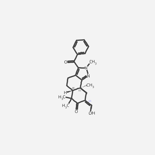 Cn1nc2c(c1C(=O)c1ccccc1)CC[C@H]1C(C)(C)C(=O)/C(=C\O)C[C@]21C